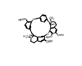 COc1cc2c3cc1Oc1c(OC)c(OC)cc4c1[C@H](Cc1ccc(cc1)Oc1cc(ccc1NC(C)=O)C[C@H]3N(C)CC2)N(C)CC4